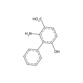 Nc1c(C(=O)O)ccc(O)c1-c1ccccc1